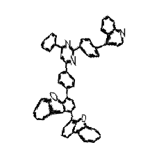 c1ccc(-c2cc(-c3ccc(-c4ccc(-c5cccc6c5oc5ccccc56)c5c4oc4ccccc45)cc3)nc(-c3ccc(-c4ccnc5ccccc45)cc3)n2)cc1